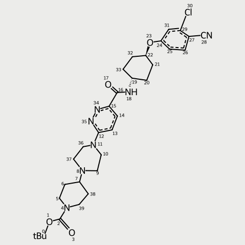 CC(C)(C)OC(=O)N1CCC(N2CCN(c3ccc(C(=O)N[C@H]4CC[C@H](Oc5ccc(C#N)c(Cl)c5)CC4)nn3)CC2)CC1